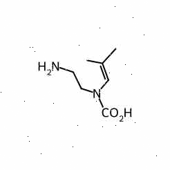 CC(C)=CN(CCN)C(=O)O